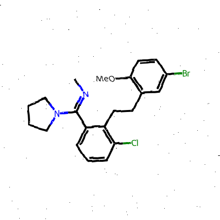 CN=C(c1cccc(Cl)c1CCc1cc(Br)ccc1OC)N1CCCC1